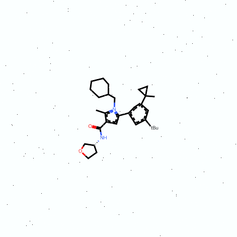 Cc1c(C(=O)N[C@@H]2CCOC2)cc(-c2cc(C(C)(C)C)cc(C3(C)CC3)c2)n1CC1CCCCC1